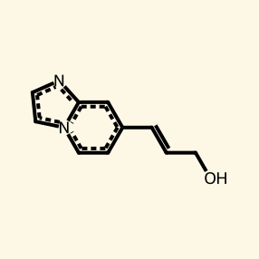 OCC=Cc1ccn2ccnc2c1